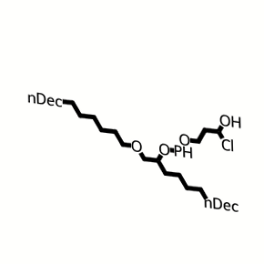 CCCCCCCCCCCCCCCCOCC(CCCCCCCCCCCCCC)OPOCCC(O)Cl